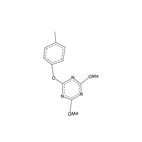 COc1nc(OC)nc(Oc2ccc(C)cc2)n1